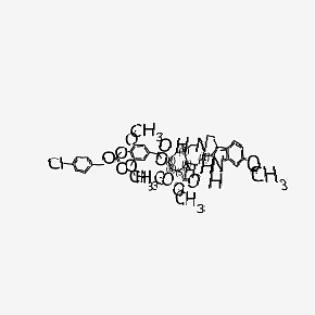 COC(=O)[C@H]1[C@H]2C[C@@H]3c4[nH]c5cc(OC)ccc5c4CCN3C[C@H]2C[C@@H](OC(=O)c2cc(OC)c(OC(=O)OCc3ccc(Cl)cc3)c(OC)c2)[C@@H]1OC